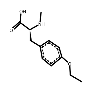 CCOc1ccc(C[C@H](NC)C(=O)O)cc1